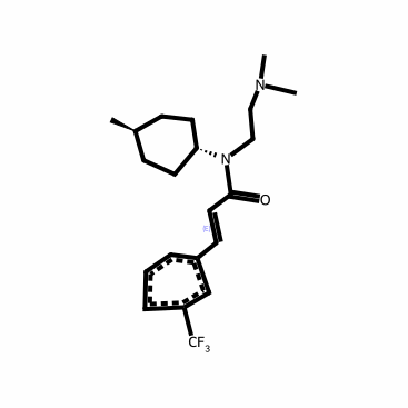 CN(C)CCN(C(=O)/C=C/c1cccc(C(F)(F)F)c1)[C@H]1CC[C@H](C)CC1